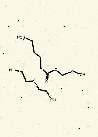 O=C(O)CCCCC(=O)OCCO.OCCOCCO